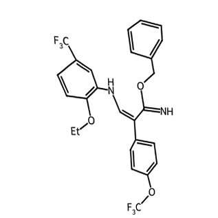 CCOc1ccc(C(F)(F)F)cc1N/C=C(\C(=N)OCc1ccccc1)c1ccc(OC(F)(F)F)cc1